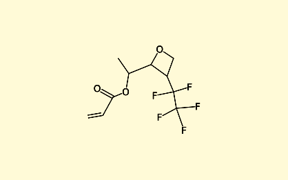 C=CC(=O)OC(C)C1OCC1C(F)(F)C(F)(F)F